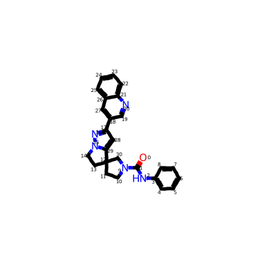 O=C(Nc1ccccc1)N1CCC2(CCn3nc(-c4cnc5ccccc5c4)cc32)C1